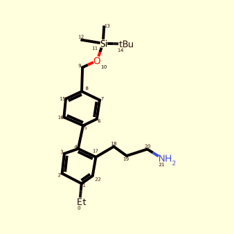 CCc1ccc(-c2ccc(CO[Si](C)(C)C(C)(C)C)cc2)c(CCCN)c1